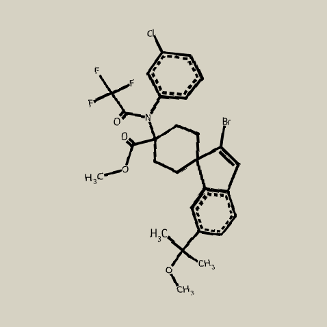 COC(=O)C1(N(C(=O)C(F)(F)F)c2cccc(Cl)c2)CCC2(CC1)C(Br)=Cc1ccc(C(C)(C)OC)cc12